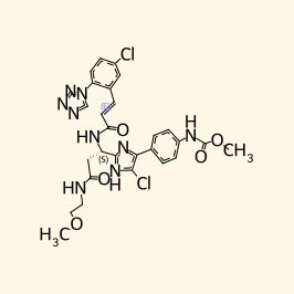 COCCNC(=O)C[C@H](NC(=O)/C=C/c1cc(Cl)ccc1-n1cnnn1)c1nc(-c2ccc(NC(=O)OC)cc2)c(Cl)[nH]1